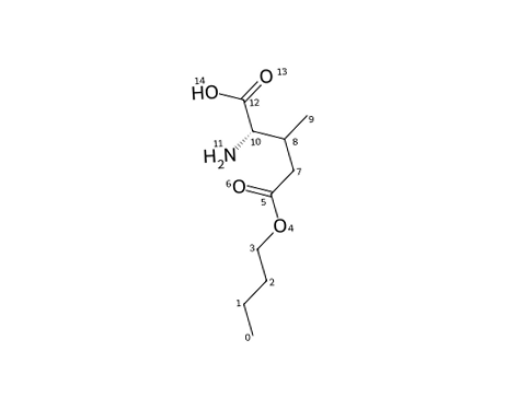 CCCCOC(=O)CC(C)[C@H](N)C(=O)O